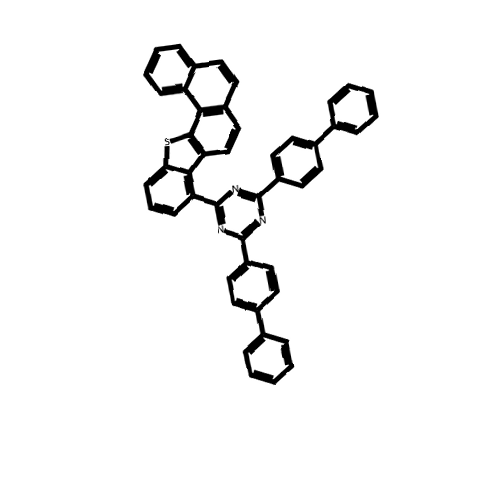 c1ccc(-c2ccc(-c3nc(-c4ccc(-c5ccccc5)cc4)nc(-c4cccc5sc6c(ccc7ccc8ccccc8c76)c45)n3)cc2)cc1